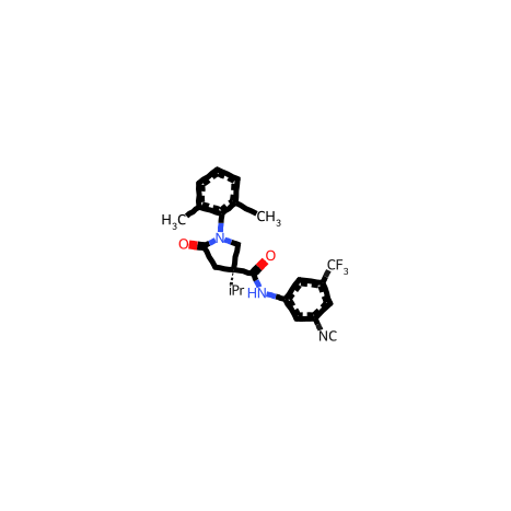 [C-]#[N+]c1cc(NC(=O)[C@@]2(C(C)C)CC(=O)N(c3c(C)cccc3C)C2)cc(C(F)(F)F)c1